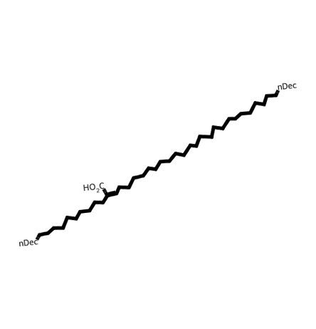 CCCCCCCCCCCCCCCCCCCCCCCCCCCCCCCCCC/C=C(/CCCCCCCCCCCCCCCCCCCC)C(=O)O